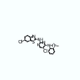 CP(C)c1ccccc1Nc1nc(Nc2nc3ccc(Cl)cc3s2)ncc1Cl